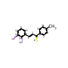 Cc1ccc(C(=S)C=Cc2cccc(I)c2I)cc1